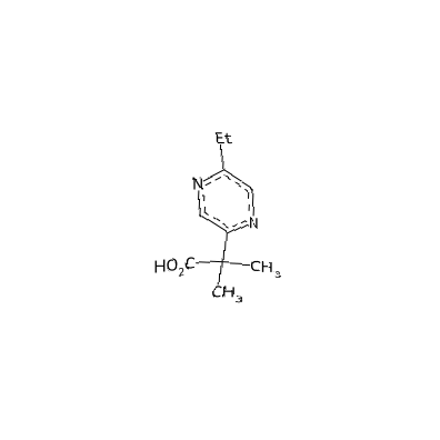 CCc1cnc(C(C)(C)C(=O)O)cn1